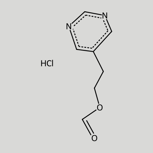 Cl.O=COCCc1cncnc1